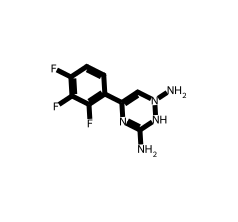 NC1=NC(c2ccc(F)c(F)c2F)=CN(N)N1